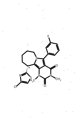 Cn1c(=O)c2c(-c3cccc(F)c3)n3c(c2n(C)c1=O)[C@H](c1nc(Cl)cs1)CCCC3